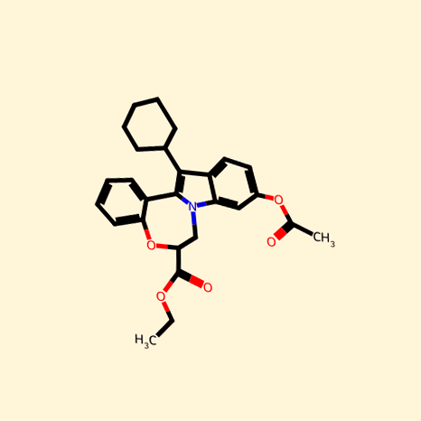 CCOC(=O)C1Cn2c(c(C3CCCCC3)c3ccc(OC(C)=O)cc32)-c2ccccc2O1